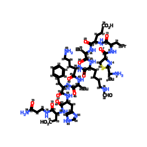 CCC(C)C(N)C1=NC(C(=O)NC(CC(C)C)C(=O)NC(CCC(=O)O)C(=O)NC(C(=O)NC(CCCCNC=O)C(=O)NC(CCCN)C(=O)NC(C(=O)NC(Cc2ccccc2)C(=O)NC(Cc2c[nH]cn2)C(=O)NC(CC(=O)O)C(=O)NCCC(N)=O)C(C)CC)C(C)CC)CS1